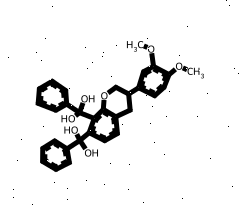 COc1ccc(C2COc3c(ccc(C(O)(O)c4ccccc4)c3C(O)(O)c3ccccc3)C2)cc1OC